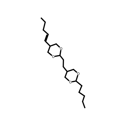 CCCC=CC1COC(CCC2COC(CCCCC)OC2)OC1